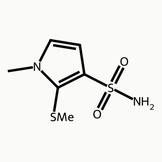 CSc1c(S(N)(=O)=O)ccn1C